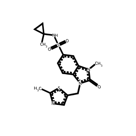 Cc1ncc(Cn2c(=O)n(C)c3cc(S(=O)(=O)NC4(C)CC4)ccc32)s1